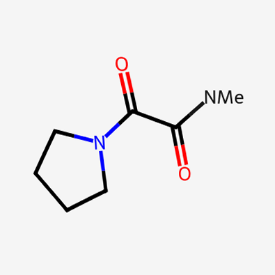 CNC(=O)C(=O)N1CCCC1